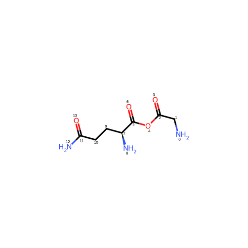 NCC(=O)OC(=O)[C@@H](N)CCC(N)=O